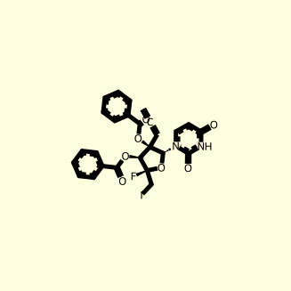 C=C=C[C@]1(OC(=O)c2ccccc2)[C@H](n2ccc(=O)[nH]c2=O)O[C@](F)(CI)[C@H]1OC(=O)c1ccccc1